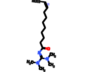 CCCCCCCC/C=C\CCCCCCCC(=O)N=C(N(C)C)N(C)C